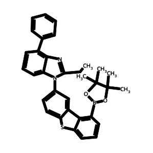 CCc1nc2c(-c3ccccc3)cccc2n1-c1ccc2sc3cccc(B4OC(C)(C)C(C)(C)O4)c3c2c1